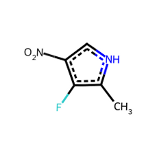 Cc1[nH]cc([N+](=O)[O-])c1F